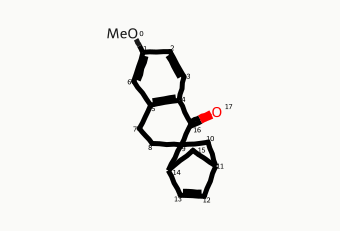 COc1ccc2c(c1)CCC1(CC3C=CC1C3)C2=O